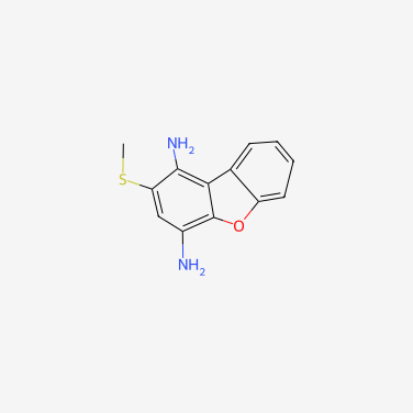 CSc1cc(N)c2oc3ccccc3c2c1N